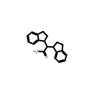 NC(=O)C(C1CCc2ccccc21)C1CCc2ccccc21